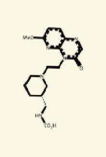 COc1ccc2ncc(=O)n(CCN3CCC[C@@H](CNC(=O)O)C3)c2n1